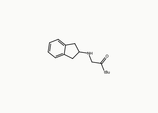 CC(C)(C)C(=O)CNC1Cc2ccccc2C1